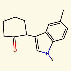 Cc1ccc2c(c1)c(C1CCCCC1=O)cn2C